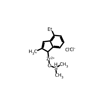 CCc1cccc2c1C=C(C)[CH]2[Zr+2][O][SiH](C)C.[Cl-].[Cl-]